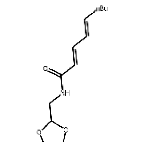 CCCC/C=C/C=C/C(=O)NCC1OCCO1